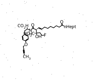 CC#CCOc1ccc(C[C@H](NC(=O)[C@@H](C=CCCCCCCC(=O)CCCCCCC)[C@@](O)(CCF)C(=O)O)C(=O)O)cc1